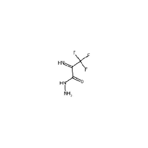 N=C(C(=O)NN)C(F)(F)F